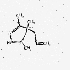 C=CC[N+]1(C)C(C)=NNN1C